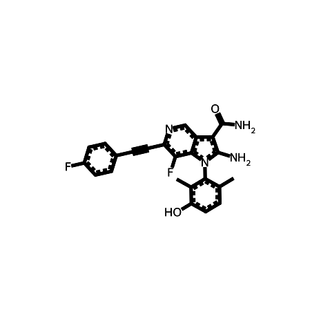 Cc1ccc(O)c(C)c1-n1c(N)c(C(N)=O)c2cnc(C#Cc3ccc(F)cc3)c(F)c21